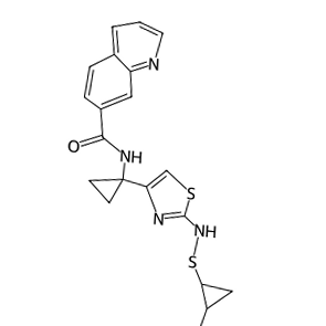 CC1CC1SNc1nc(C2(NC(=O)c3ccc4cccnc4c3)CC2)cs1